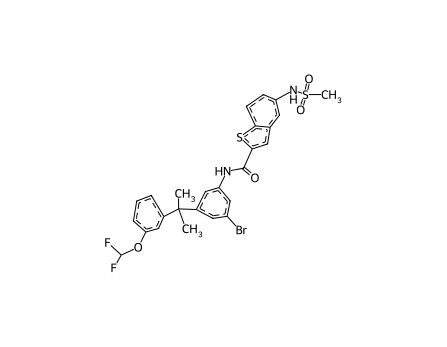 CC(C)(c1cc(Br)cc(NC(=O)c2cc3cc(NS(C)(=O)=O)ccc3s2)c1)c1cccc(OC(F)F)c1